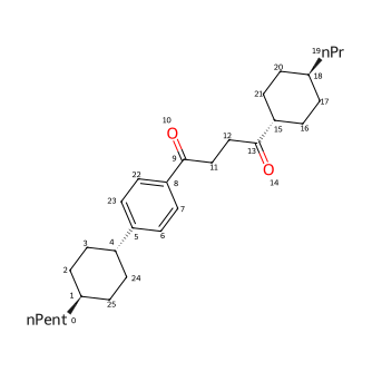 CCCCC[C@H]1CC[C@H](c2ccc(C(=O)CCC(=O)[C@H]3CC[C@H](CCC)CC3)cc2)CC1